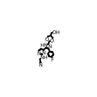 N#CCNc1nccc(-c2[nH]c(C3OCC(CO)CO3)nc2-c2ccc(F)cc2)n1